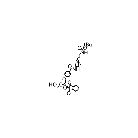 CC(C)(C)OC(=O)NCCCn1cc(NC(=O)c2ccc(OC[C@H](ON3C(=O)c4ccccc4C3=O)C(=O)O)cc2)cn1